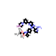 CC(C)(C)OC(=O)NC1(c2ccc(-n3c(-c4cccnc4N)nc4ccc(-c5cccc(N6CCPCC6)c5)nc43)cc2)CCC1